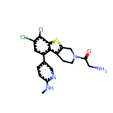 CNc1ccc(-c2cc(Cl)c(Cl)c3sc4c(c23)CCN(C(=O)CN)C4)cn1